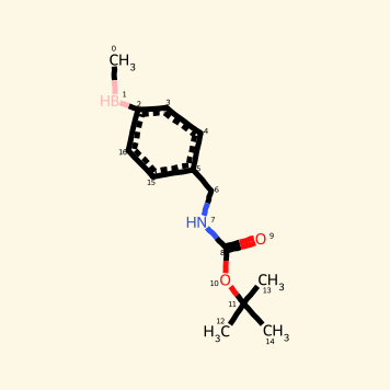 CBc1ccc(CNC(=O)OC(C)(C)C)cc1